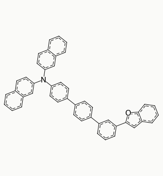 c1cc(-c2ccc(-c3ccc(N(c4ccc5ccccc5c4)c4ccc5ccccc5c4)cc3)cc2)cc(-c2cc3ccccc3o2)c1